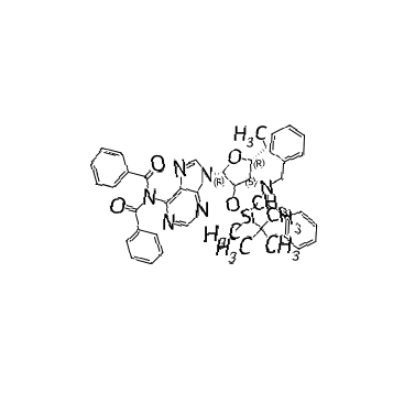 CC[C@H]1O[C@@H](n2cnc3c(N(C(=O)c4ccccc4)C(=O)c4ccccc4)ncnc32)C(O[Si](C)(C)C(C)(C)C)[C@H]1N(Cc1ccccc1)Cc1ccccc1